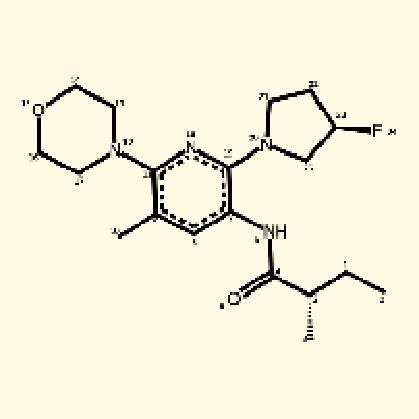 CC[C@H](C)C(=O)Nc1cc(C)c(N2CCOCC2)nc1N1CC[C@@H](F)C1